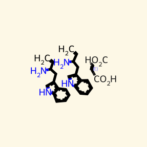 C=CC(N)Cc1c[nH]c2ccccc12.C=CC(N)Cc1c[nH]c2ccccc12.O=C(O)/C=C/C(=O)O